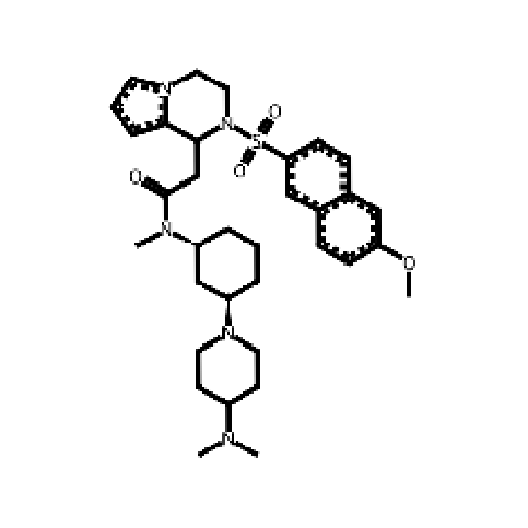 COc1ccc2cc(S(=O)(=O)N3CCn4cccc4C3CC(=O)N(C)[C@H]3CCC[C@@H](N4CCC(N(C)C)CC4)C3)ccc2c1